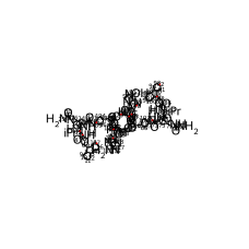 CC(C)[C@H](NC(=O)OCC1c2ccccc2-c2ccccc21)C(=O)N[C@@H](CCCNC(N)=O)C(=O)Nc1ccc(CSP2(=O)OC[C@H]3O[C@@H](n4cnc5c(O)ncnc54)[C@H](F)[C@@H]3OP(=O)(SCc3ccc(NC(=O)[C@H](CCCNC(N)=O)NC(=O)[C@@H](NC(=O)OCC4c5ccccc5-c5ccccc54)C(C)C)cc3)OC[C@H]3O[C@@H](n4cnc5c(N)ncnc54)[C@H](F)[C@@H]3O2)cc1